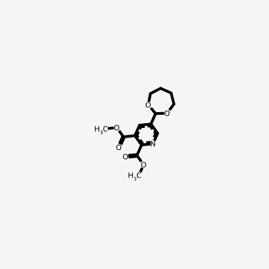 COC(=O)c1cc(C2OCCCCO2)cnc1C(=O)OC